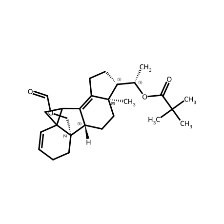 C[C@H](OC(=O)C(C)(C)C)[C@H]1CCC2=C3C4CC45C=CCC[C@]5(COC=O)[C@H]3CC[C@@]21C